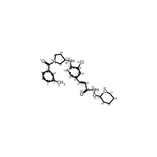 Cc1cccc(C(=O)N2CC[C@@H](Nc3ncc(/C=C/C(=O)NOC4CCCCO4)cc3Cl)C2)c1